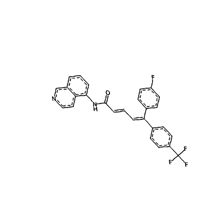 O=C(C=CC=C(c1ccc(F)cc1)c1ccc(C(F)(F)F)cc1)Nc1cccc2cnccc12